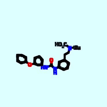 CC(C)(C)N(CCc1cccc(NC(=O)Nc2cccc(Oc3ccccc3)c2)c1)C(=O)O